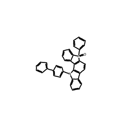 O=P1(c2ccccc2)c2ccccc2-c2c1ccc1c3ccccc3n(-c3ccc(-c4ccccc4)cc3)c21